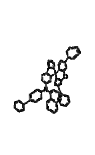 c1ccc(-c2ccc(N(c3ccc4c(c3)C3(c5ccc(-c6ccccc6)cc5Oc5cc(-c6ccccc6)ccc53)c3ccccc3-4)c3cccc4ccccc34)cc2)cc1